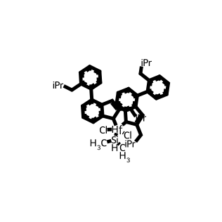 CC(C)CC1=Cc2c(-c3ccccc3CC(C)C)cccc2[CH]1[Hf]([Cl])([Cl])([CH]1C(CC(C)C)=Cc2c(-c3ccccc3CC(C)C)cccc21)[SiH](C)C